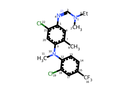 CCN(C)/C=N\c1cc(C)c(N(C)c2ccc(C(F)(F)F)cc2Cl)cc1Cl